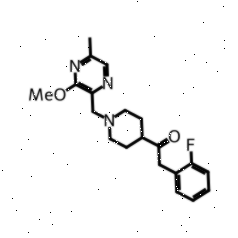 COc1nc(C)cnc1CN1CCC(C(=O)Cc2ccccc2F)CC1